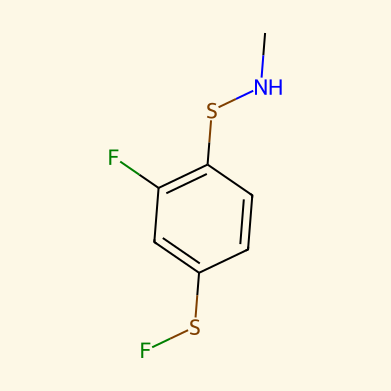 CNSc1ccc(SF)cc1F